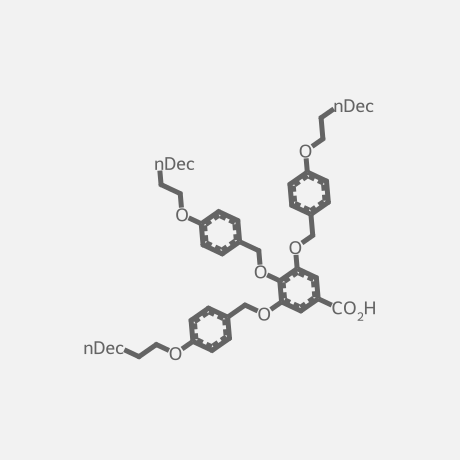 CCCCCCCCCCCCOc1ccc(COc2cc(C(=O)O)cc(OCc3ccc(OCCCCCCCCCCCC)cc3)c2OCc2ccc(OCCCCCCCCCCCC)cc2)cc1